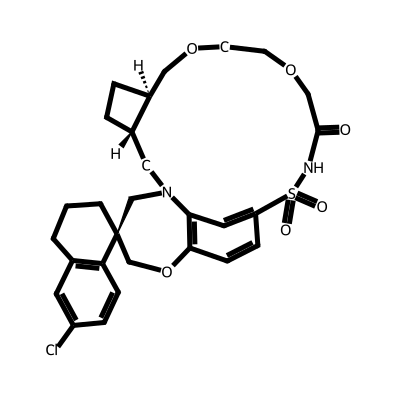 O=C1COCCOC[C@@H]2CC[C@H]2CN2C[C@@]3(CCCc4cc(Cl)ccc43)COc3ccc(cc32)S(=O)(=O)N1